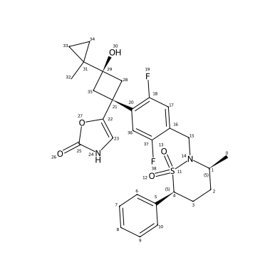 C[C@H]1CC[C@@H](c2ccccc2)S(=O)(=O)N1Cc1cc(F)c([C@]2(c3c[nH]c(=O)o3)C[C@@](O)(C3(C)CC3)C2)cc1F